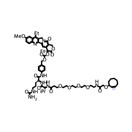 CCc1c2c(nc3ccc(OC)cc13)-c1cc3c(c(=O)n1C2)COC(=O)[C@@]3(CC)OC(=O)OCc1ccc(NC(=O)[C@H](CCCNC(N)=O)NC(=O)[C@@H](NC(=O)CCOCCOCCOCCOCCNC(=O)COC2/C=C\CCCCC2)C(C)C)cc1